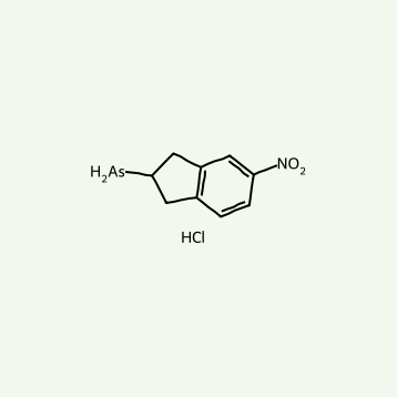 Cl.O=[N+]([O-])c1ccc2c(c1)CC([AsH2])C2